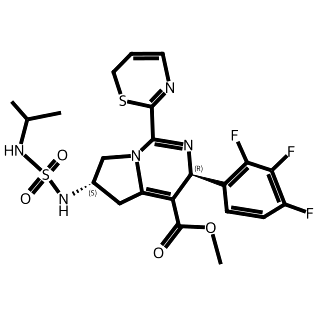 COC(=O)C1=C2C[C@H](NS(=O)(=O)NC(C)C)CN2C(C2=NC=CCS2)=N[C@H]1c1ccc(F)c(F)c1F